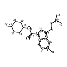 Cc1ccc2c(c1)c(CCN(C)C)cn2C(=O)OC1CCC(C)CC1